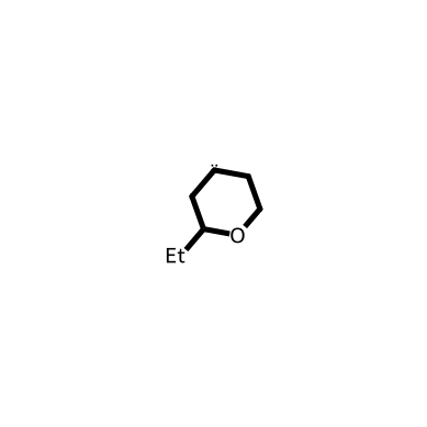 CCC1C[C]CCO1